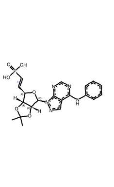 CC1(C)O[C@@H]2[C@H](O1)[C@@H](/C=C/P(=O)(O)O)O[C@H]2n1ncc2c(Nc3ccccc3)ncnc21